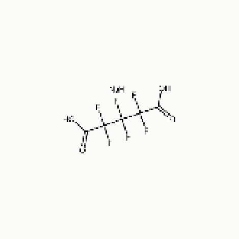 O=C(O)C(F)(F)C(F)(F)C(F)(F)C(=O)O.[NaH]